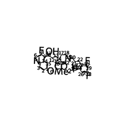 COc1ccc2ncc(F)c([C@H](O)CCC3(CC(=O)O)CCN(CCCc4c(F)cc(F)cc4F)CC3)c2c1